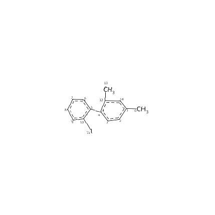 Cc1ccc(-c2ccc[c]c2I)c(C)c1